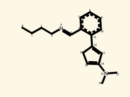 CCCCN=Cc1ccccc1C1=CC(N(C)C)=CC1